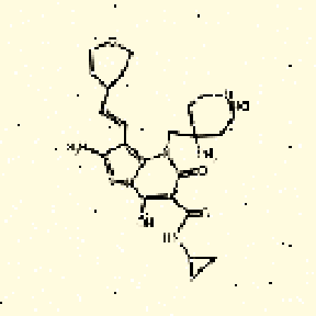 CC1(Cn2c(=O)c(C(=O)NC3CC3)c(O)n3nc(N)c(/C=C/C4CCOCC4)c23)CCOCC1.Cl